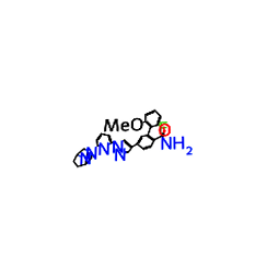 COc1cccc(F)c1-c1cc(-c2cnn(-c3cccc(N4CC5CCC(C4)N5C)n3)c2)ccc1C(N)=O